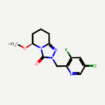 O=C(O)O[C@H]1CCCc2nn(Cc3ncc(Cl)cc3F)c(=O)n21